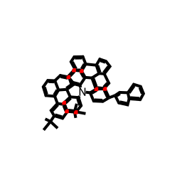 CC(C)(C)c1cc(-c2cccc3cccc(-c4ccccc4N(c4ccc(-c5ccc6ccccc6c5)cc4)c4ccccc4-c4cccc5cccc(-c6ccccc6)c45)c23)cc(C(C)(C)C)c1